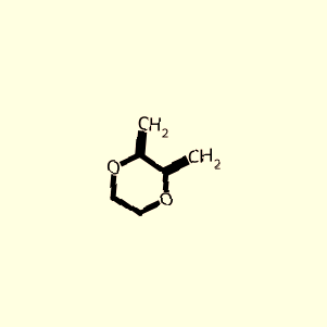 C=C1OCCOC1=C